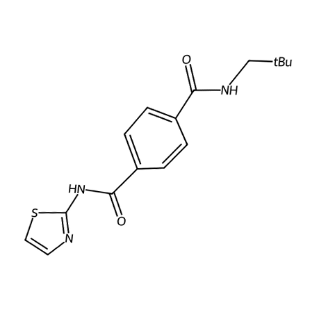 CC(C)(C)CNC(=O)c1ccc(C(=O)Nc2nccs2)cc1